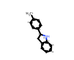 Cc1ccc(C2Cc3ccccc3N2)cc1